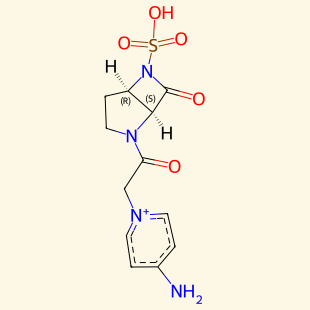 Nc1cc[n+](CC(=O)N2CC[C@@H]3[C@H]2C(=O)N3S(=O)(=O)O)cc1